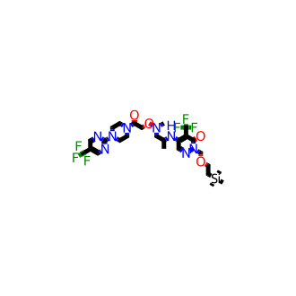 CC(CN(C)OCC(=O)N1CCN(c2ncc(C(F)(F)F)cn2)CC1)Nc1cnn(COCC[Si](C)(C)C)c(=O)c1C(F)(F)F